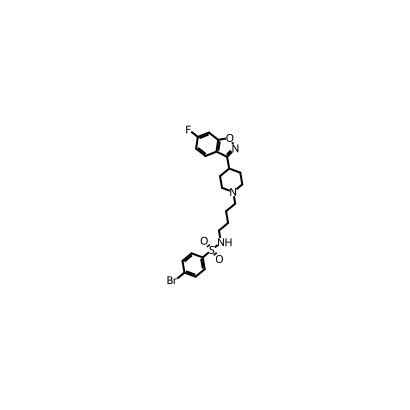 O=S(=O)(NCCCCN1CCC(c2noc3cc(F)ccc23)CC1)c1ccc(Br)cc1